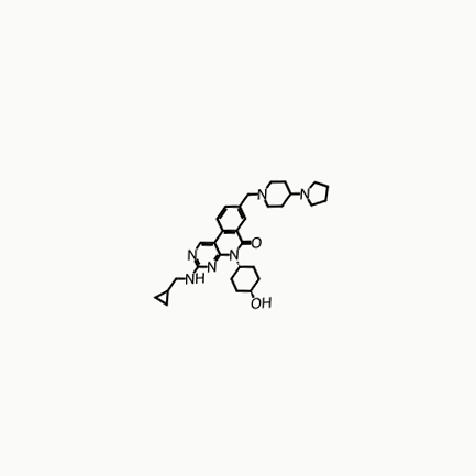 O=c1c2cc(CN3CCC(N4CCCC4)CC3)ccc2c2cnc(NCC3CC3)nc2n1[C@H]1CC[C@H](O)CC1